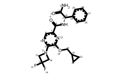 NC(=O)[C@@H](NC(=O)c1cnc(N2CC(F)(F)C2)c(OCC2CC2)n1)c1ccccc1